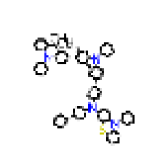 CC1(C)c2ccccc2N(c2ccccc2)c2ccc(-c3ccc4c(c3)c3cc(-c5ccc(N(c6ccc(-c7ccccc7)cc6)c6ccc7c(c6)Sc6ccccc6N7c6ccccc6)cc5)ccc3n4-c3ccccc3)cc21